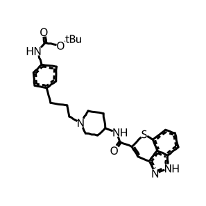 CC(C)(C)OC(=O)Nc1ccc(CCCN2CCC(NC(=O)C3=Cc4n[nH]c5cccc(c45)S3)CC2)cc1